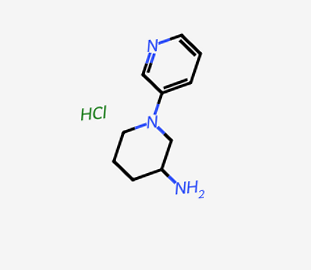 Cl.NC1CCCN(c2cccnc2)C1